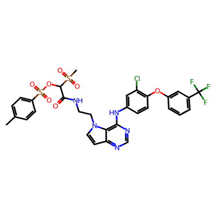 Cc1ccc(S(=O)(=O)OC(C(=O)NCCn2ccc3ncnc(Nc4ccc(Oc5cccc(C(F)(F)F)c5)c(Cl)c4)c32)S(C)(=O)=O)cc1